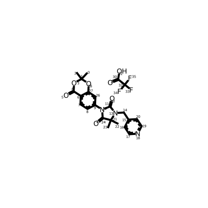 CC1(C)OC(=O)c2ccc(N3C(=O)N(Cc4ccncc4)C(C)(C)C3=O)cc2O1.O=C(O)C(F)(F)F